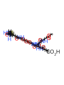 C=CCOC(=O)CCCCCNC(=O)CCC(=O)NC(CCCCNC(=O)CCCCC(=O)O)C(=O)NCCCOCCOCCOCCCNC(=O)CCCC[C@@H]1SC[C@@H]2NC(=O)N[C@@H]21